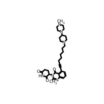 Cc1nc2cccc(C#CCCCCCCN3CCC(N4CCN(C)CC4)CC3)c2c(=O)n1C1CCC(=O)NC1=O